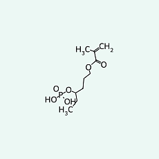 C=C(C)C(=O)OCCCC(CC)OP(=O)(O)O